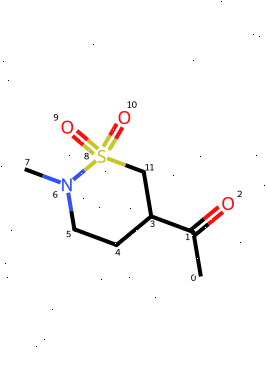 CC(=O)C1CCN(C)S(=O)(=O)C1